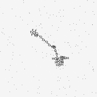 O=C(CO)N[C@@H]1[C@@H]([C@@H](O)[C@@H](O)CO)O[C@@](OCCOCCOCc2cn(CCOCCOCCOCCOCCC(=O)Oc3c(F)c(F)c(F)c(F)c3F)nn2)(C(=O)O)C[C@H]1O